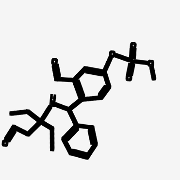 CCC(CC)(CC=O)NC(c1ccccc1)c1ccc(OS(=O)(=O)OC)cc1C=O